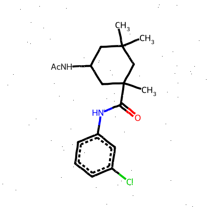 CC(=O)NC1CC(C)(C)CC(C)(C(=O)Nc2cccc(Cl)c2)C1